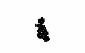 COc1cccc(OC)c1-n1c(NS(=O)(=O)[C@H](C)[C@@H](O)c2cnc(C)cn2)nnc1-c1cccnc1